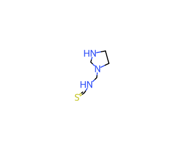 S=CNCN1CCNC1